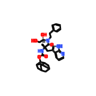 C[C@@](Cc1c[nH]c2ncccc12)(NC(=O)OC1C2CC3CC(C2)CC1C3)C(=O)N(CCc1ccccc1)[C@@H](O)CO